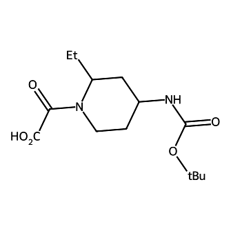 CCC1CC(NC(=O)OC(C)(C)C)CCN1C(=O)C(=O)O